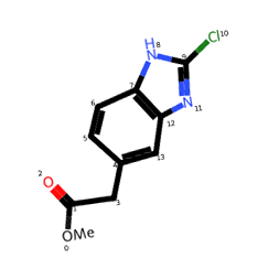 COC(=O)Cc1ccc2[nH]c(Cl)nc2c1